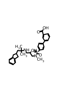 CN(CC(O)CNC(C)(C)CC1Cc2ccccc2C1)S(=O)(=O)c1ccc(-c2cccc(C(=O)O)c2)cc1